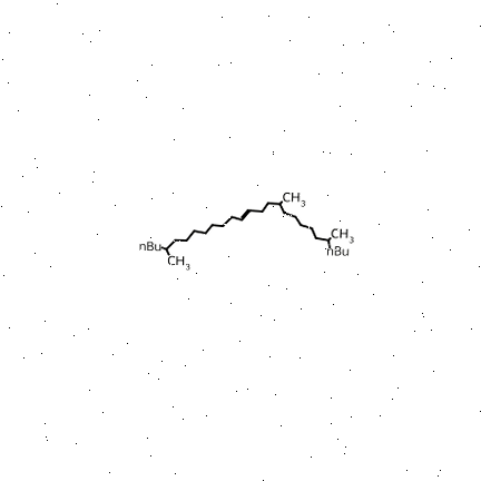 [CH2]CCCC(C)CCCCCCCC=CCCC(C)CCCCCC(C)CCC[CH2]